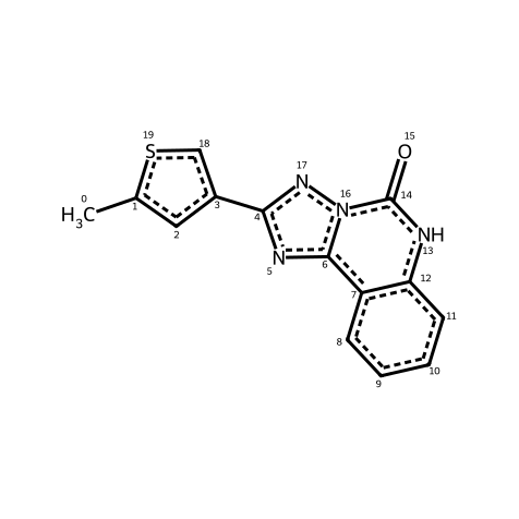 Cc1cc(-c2nc3c4ccccc4[nH]c(=O)n3n2)cs1